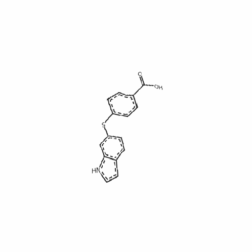 O=C(O)c1ccc(Sc2ccc3cc[nH]c3c2)cc1